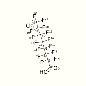 O=C(O)C(F)(F)C(F)(F)C(F)(F)C(F)(F)C(F)(F)C(F)(F)C(F)(F)Cl